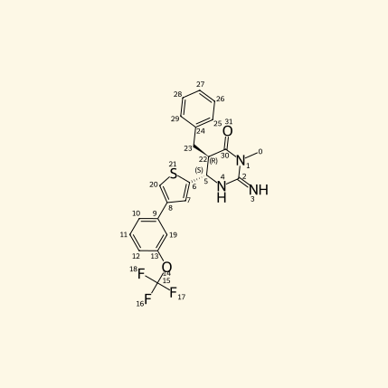 CN1C(=N)N[C@H](c2cc(-c3cccc(OC(F)(F)F)c3)cs2)[C@@H](Cc2ccccc2)C1=O